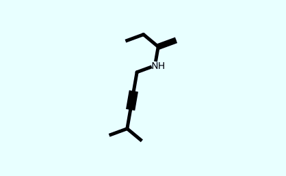 C=C(CC)NCC#CC(C)C